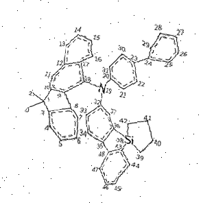 CC1(C)c2ccccc2-c2c1cc1ccccc1c2N(c1ccc(-c2ccccc2)cc1)c1ccc2c(c1)[Si]1(CCCC1)c1ccccc1-2